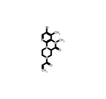 C=CC(=O)N1CCN2c3ncc(Br)c(C)c3N(C)C(=O)C2C1